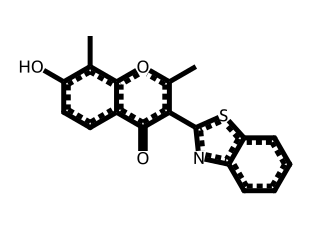 Cc1oc2c(C)c(O)ccc2c(=O)c1-c1nc2ccccc2s1